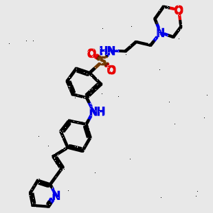 O=S(=O)(NCCCN1CCOCC1)c1cccc(Nc2ccc(/C=C/c3ccccn3)cc2)c1